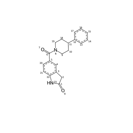 O=C1Cc2cc(C(=O)N3CCC(c4ccccc4)CC3)ccc2N1